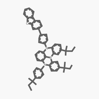 CCC(C)(C)c1ccc(N2c3ccc(C(C)(C)CC)cc3B3c4cc(C(C)(C)CC)ccc4N(c4ccc(-c5ccc6c(c5)oc5ccccc56)cc4)c4cccc2c43)cc1